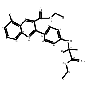 CCOC(=O)c1cc2c(C)cccc2nc1-c1ccc(OC(C)(C)C(=O)OCC)cc1